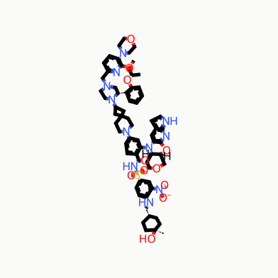 COc1nc(CN2CCN(C3CC4(CCN(c5ccc(C(=O)NS(=O)(=O)c6ccc(NC[C@H]7CC[C@](C)(O)CC7)c([N+](=O)[O-])c6)c(N6c7cc8cc[nH]c8nc7O[C@H]7COCC[C@@H]76)c5)CC4)C3)[C@@H](c3ccccc3OC(C)C)C2)ccc1N1CCOCC1